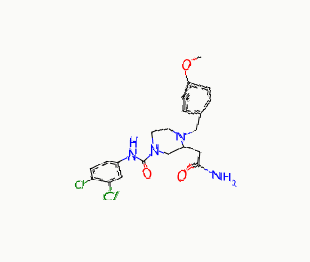 COc1ccc(CN2CCN(C(=O)Nc3ccc(Cl)c(Cl)c3)CC2CC(N)=O)cc1